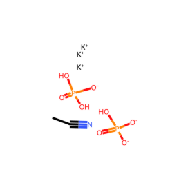 CC#N.O=P([O-])(O)O.O=P([O-])([O-])O.[K+].[K+].[K+]